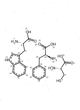 N[C@@H](CS)C(=O)O.N[C@@H](Cc1c[nH]c2ccccc12)C(=O)O.N[C@@H](Cc1ccccc1)C(=O)O